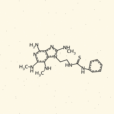 CNc1nc(N)c2nc(NC)n(CCNC(=S)Nc3ccccc3)c2c1NC